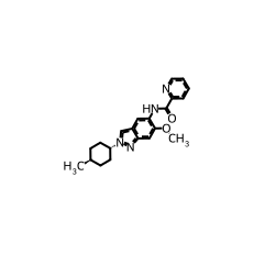 COc1cc2nn([C@H]3CC[C@H](C)CC3)cc2cc1NC(=O)c1ccccn1